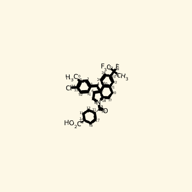 Cc1cc(CC23CCN(C(=O)[C@H]4CC[C@H](C(=O)O)CC4)C2CCc2cc(C(C)(F)C(F)(F)F)ccc23)ccc1Cl